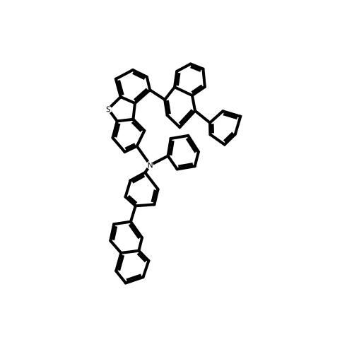 c1ccc(-c2ccc(-c3cccc4sc5ccc(N(c6ccccc6)c6ccc(-c7ccc8ccccc8c7)cc6)cc5c34)c3ccccc23)cc1